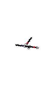 CCCCCC/C=C/COC(CCC(=O)OCCCCCCBr)OC/C=C/CCCCCC